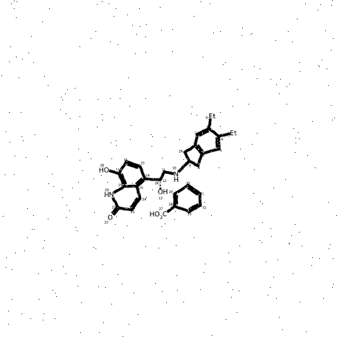 CCc1cc2c(cc1CC)CC(NC[C@H](O)c1ccc(O)c3[nH]c(=O)ccc13)C2.O=C(O)c1ccccc1